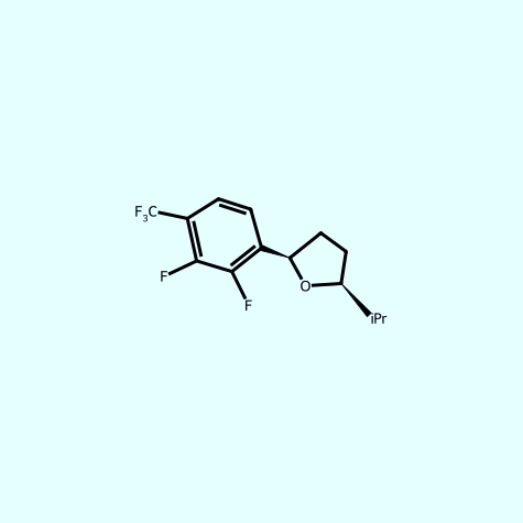 CC(C)[C@@H]1CC[C@H](c2ccc(C(F)(F)F)c(F)c2F)O1